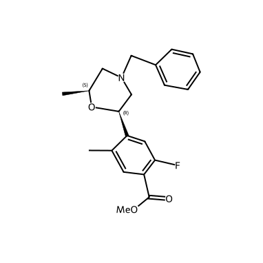 COC(=O)c1cc(C)c([C@@H]2CN(Cc3ccccc3)C[C@H](C)O2)cc1F